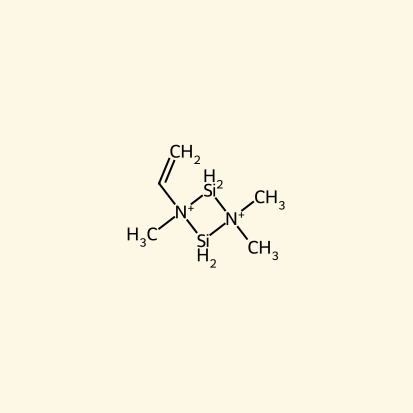 C=C[N+]1(C)[SiH2][N+](C)(C)[SiH2]1